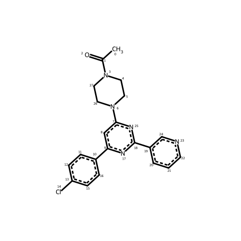 CC(=O)N1CCN(c2cc(-c3ccc(Cl)cc3)nc(-c3cccnc3)n2)CC1